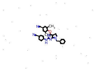 Cc1cc(C#N)cc(C)c1Oc1nc(Nc2ccc(C#N)cc2)nc2c1ccn2Cc1ccccc1